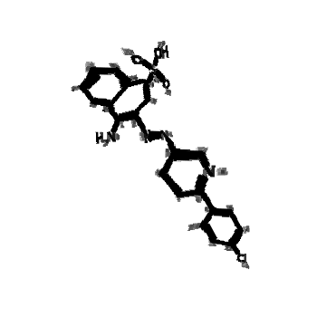 Nc1c(N=Nc2ccc(-c3ccc(Cl)cc3)nc2)cc(S(=O)(=O)O)c2ccccc12